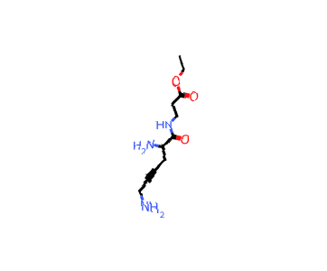 CCOC(=O)CCNC(=O)C(N)CC#CCN